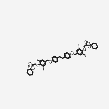 CCC1(OC(=O)COc2c(I)cc(COc3ccc(CCc4ccc(OCc5cc(I)c(OCC(=O)OC6(CC)CCCCC6)c(I)c5)cc4)cc3)cc2I)CCCCC1